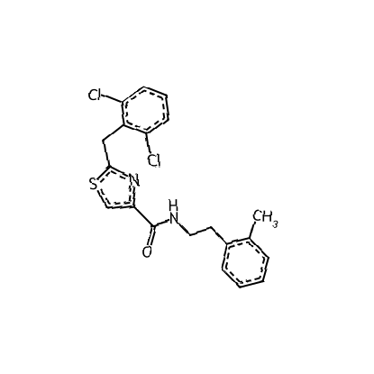 Cc1ccccc1CCNC(=O)c1csc(Cc2c(Cl)cccc2Cl)n1